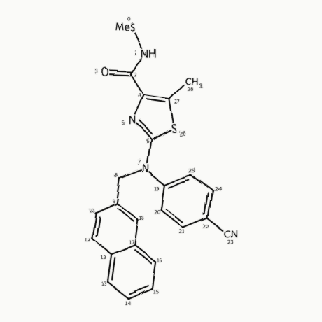 CSNC(=O)c1nc(N(Cc2ccc3ccccc3c2)c2ccc(C#N)cc2)sc1C